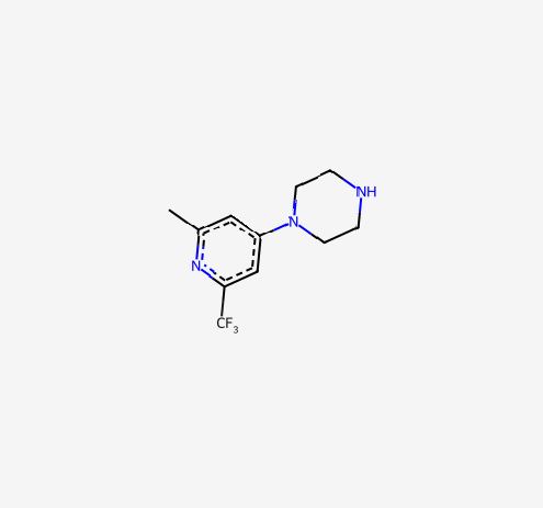 Cc1cc(N2CCNCC2)cc(C(F)(F)F)n1